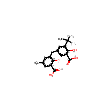 Cc1cc(Cc2cc(C(=O)O)c(O)c(C(C)(C)C)c2)c(O)c(C(=O)O)c1